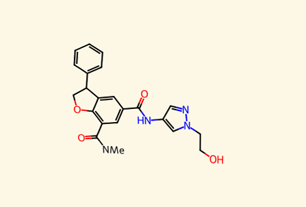 CNC(=O)c1cc(C(=O)Nc2cnn(CCO)c2)cc2c1OCC2c1ccccc1